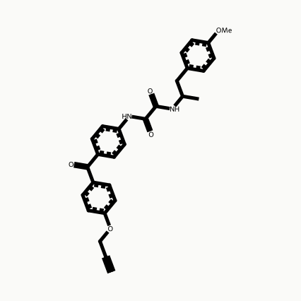 C#CCOc1ccc(C(=O)c2ccc(NC(=O)C(=O)NC(C)Cc3ccc(OC)cc3)cc2)cc1